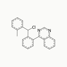 Cc1ccccc1C(Cl)c1ccccc1-c1ncnc2ccccc12